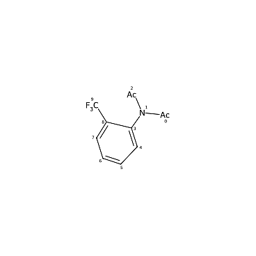 CC(=O)N(C(C)=O)c1ccccc1C(F)(F)F